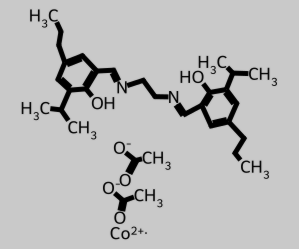 CC(=O)[O-].CC(=O)[O-].CCCc1cc(C=NCCN=Cc2cc(CCC)cc(C(C)C)c2O)c(O)c(C(C)C)c1.[Co+2]